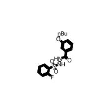 CCCCOc1cccc(C(=O)NNS(=O)(=O)c2ccccc2F)c1